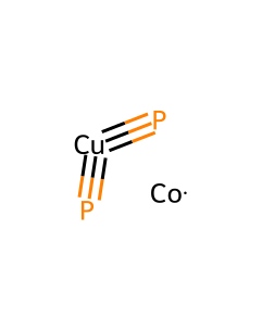 [Co].[P]#[Cu]#[P]